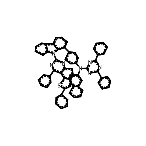 c1ccc(-c2nc(-c3ccccc3)nc(N(c3ccc(-c4cccc5c6ccccc6n(-c6nc(-c7ccccc7)c7c(ccc8cc(-c9ccccc9)sc87)n6)c45)cc3)c3ccc4ccccc4c3)n2)cc1